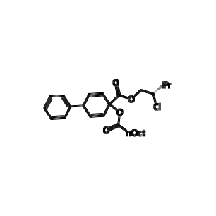 CCCCCCCCC(=O)OC1(C(=O)OC[C@@H](Cl)C(C)C)C=CC(c2ccccc2)C=C1